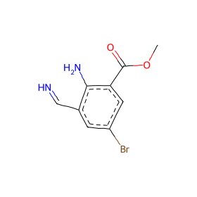 COC(=O)c1cc(Br)cc(C=N)c1N